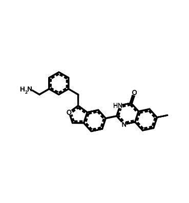 Cc1ccc2nc(-c3ccc4coc(Cc5cccc(CN)c5)c4c3)[nH]c(=O)c2c1